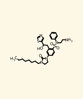 CCCCCCCCN1CCN(c2ccc(S(=O)(=O)N(CCN)c3ccccc3)c(CC(O)c3cncs3)c2)C1=O